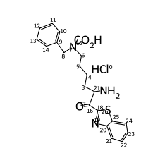 Cl.NC(CCCCN(Cc1ccccc1)C(=O)O)C(=O)c1nc2ccccc2s1